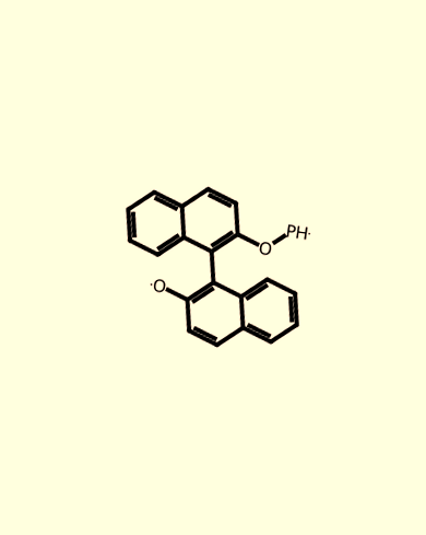 [O]c1ccc2ccccc2c1-c1c(O[PH])ccc2ccccc12